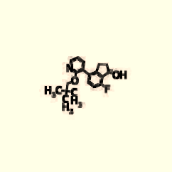 CC(C)(C)COc1ncccc1-c1ccc(F)c2c1CC[C@@H]2O